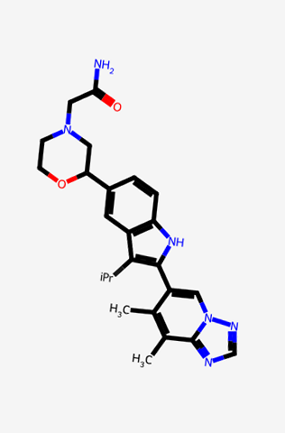 Cc1c(-c2[nH]c3ccc(C4CN(CC(N)=O)CCO4)cc3c2C(C)C)cn2ncnc2c1C